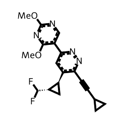 COc1ncc(-c2cc([C@H]3C[C@@H]3C(F)F)c(C#CC3CC3)nn2)c(OC)n1